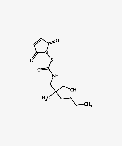 CCCCC(C)(CC)CNC(=O)SN1C(=O)C=CC1=O